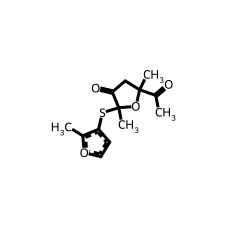 CC(=O)C1(C)CC(=O)C(C)(Sc2ccoc2C)O1